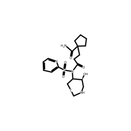 NC(=O)C1(C[CH]C(=O)N(C2CCCNC[C@@H]2O)S(=O)(=O)c2ccccn2)CCCC1